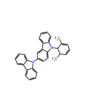 FC(F)(F)C1=CC=CC(C(F)(F)F)C1n1c2ccccc2c2cc(-n3c4ccccc4c4ccccc43)ccc21